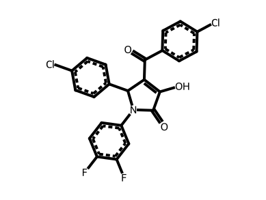 O=C(C1=C(O)C(=O)N(c2ccc(F)c(F)c2)C1c1ccc(Cl)cc1)c1ccc(Cl)cc1